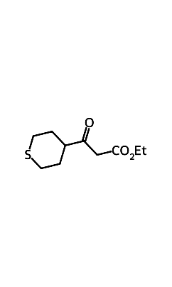 CCOC(=O)CC(=O)C1CCSCC1